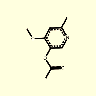 COc1cc(C)ncc1OC(C)=O